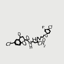 C=C(CCNC(=O)C1CC(=O)c2cc(Cl)ccc2O1)NC(=O)COc1ccc(Cl)c(F)c1